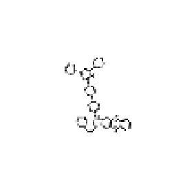 C1=CC(c2ccc(-n3c4cc5c(cc4c4ccc6ccccc6c43)Sc3ccccc3S5)cc2)CC=C1c1nc(-c2ccccc2)cc(-c2ccccc2)n1